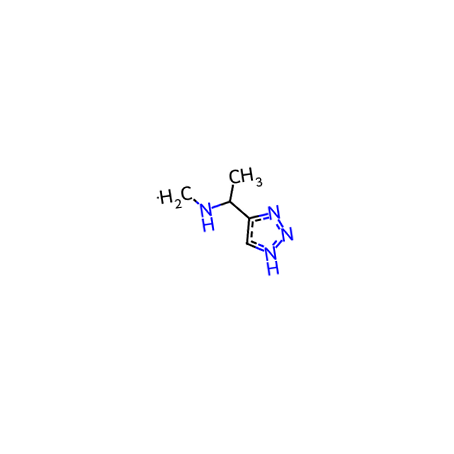 [CH2]NC(C)c1c[nH]nn1